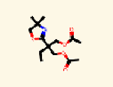 CCC(COC(C)=O)(COC(C)=O)C1=NC(C)(C)CO1